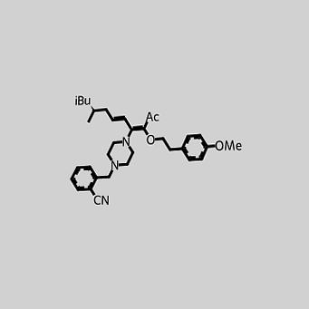 CC[C@@H](C)C(C)C/C=C/C(=C(/OCCc1ccc(OC)cc1)C(C)=O)N1CCN(Cc2ccccc2C#N)CC1